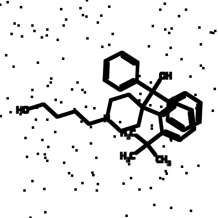 CC(C)(C)c1ccccc1C1(C(O)(c2ccccc2)c2ccccc2)CCN(CCCCO)CC1